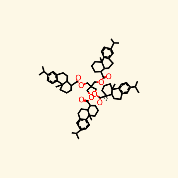 CC(C)c1ccc2c(c1)CCC1C(C(=O)OCC(COC(=O)C3CCCC4(C)c5ccc(C(C)C)cc5CCC34)(COC(=O)C3CCCC4(C)c5ccc(C(C)C)cc5CCC34)COC(=O)[C@@]3(C)CCCC4(C)c5ccc(C(C)C)cc5CCC43)CCCC21C